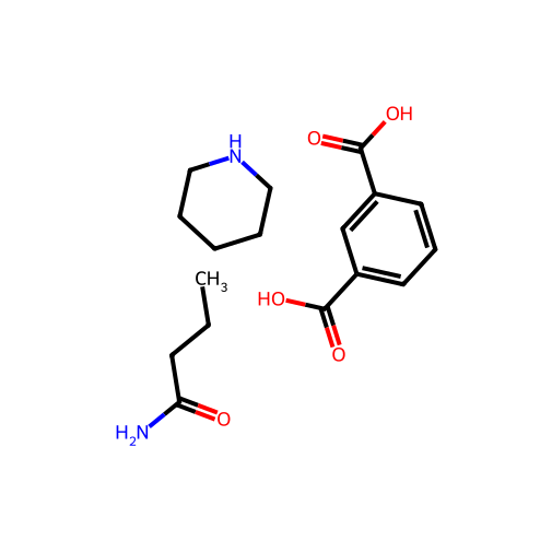 C1CCNCC1.CCCC(N)=O.O=C(O)c1cccc(C(=O)O)c1